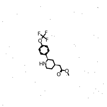 COC(=O)C[C@H]1CCN[C@@H](c2ccc(OC(F)(F)F)cc2)C1